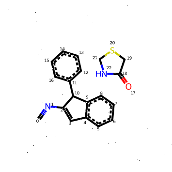 C=NC1=Cc2ccccc2C1c1ccccc1.O=C1CSCN1